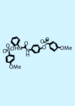 COc1ccc(S(=O)(=O)Oc2ccc(NC(=O)Nc3ccccc3OS(=O)(=O)c3ccc(OC)cc3)cc2)cc1